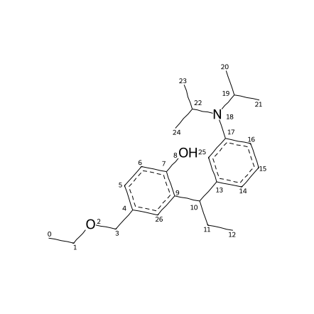 CCOCc1ccc(O)c(C(CC)c2cccc(N(C(C)C)C(C)C)c2)c1